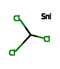 ClC(Cl)Cl.[Sn]